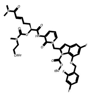 COCCN(C)C(=O)O[C@@H](CC/C=C/C(=O)N(C)C)C(=O)Nc1cccn(Cc2cc3cc(F)cc(OCc4ccc(F)cc4F)c3n2C(=O)OC(C)(C)C)c1=O